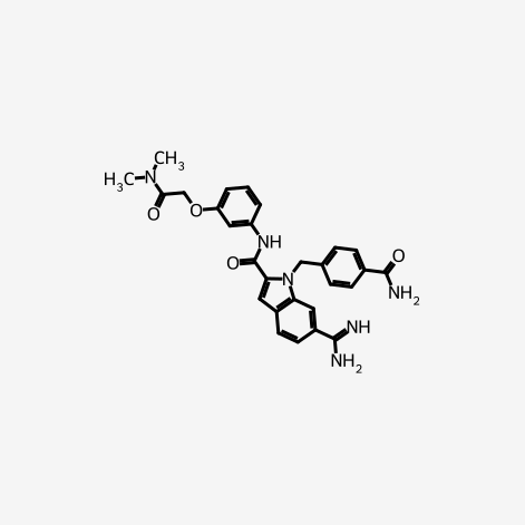 CN(C)C(=O)COc1cccc(NC(=O)c2cc3ccc(C(=N)N)cc3n2Cc2ccc(C(N)=O)cc2)c1